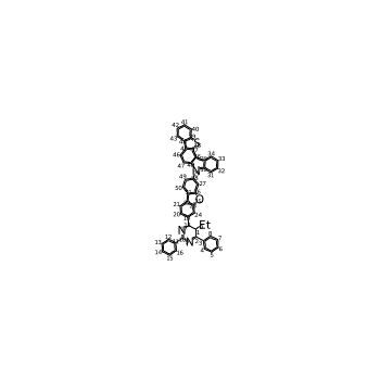 CCC1C(c2ccccc2)=NC(c2ccccc2)=NC1c1ccc2c(c1)oc1cc(-n3c4ccccc4c4c5sc6ccccc6c5ccc43)ccc12